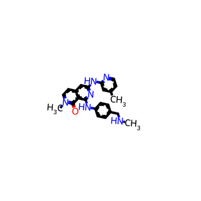 CNCc1ccc(Nc2nc(Nc3cc(C)ccn3)cc3ccn(C)c(=O)c23)cc1